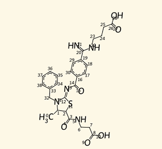 CC1C(C(=O)NCCC(=O)O)SC(=NC(=O)c2ccc(C(=N)NCCCC(=O)O)cc2)N1Cc1ccccc1